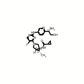 C[C@@H]1[C@@H]2CN(c3nc(Nc4ccc([C@H](N)CO)nc4)ncc3F)C[C@]12NC(=O)C1CC1